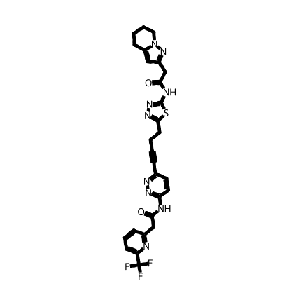 O=C(Cc1cccc(C(F)(F)F)n1)Nc1ccc(C#CCCc2nnc(NC(=O)Cc3cc4n(n3)CCCC4)s2)nn1